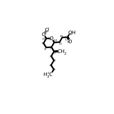 C=C(CCCCC)C1CCC(OCl)OC1CCC(=O)O